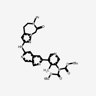 Cc1c(-c2cc3cc(Nc4cc5n(n4)CC(=O)N(C(C)C)CC5)ncc3cn2)cncc1N(C(=O)OC(C)(C)C)C(=O)OC(C)(C)C